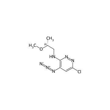 CO[C@H](C)CNc1nnc(Cl)cc1N=[N+]=[N-]